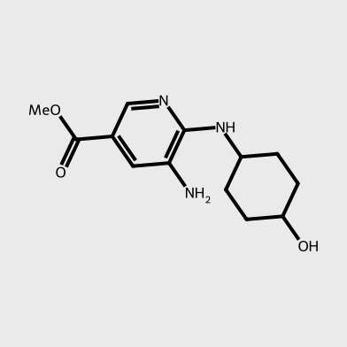 COC(=O)c1cnc(NC2CCC(O)CC2)c(N)c1